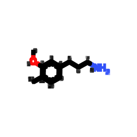 COc1cc(CCCN)ccc1C